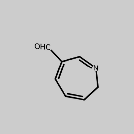 O=CC1=CC=CCN=C1